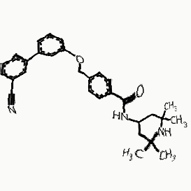 CC1(C)CC(NC(=O)c2ccc(COc3cccc(-c4cccc(C#N)c4)c3)cc2)CC(C)(C)N1